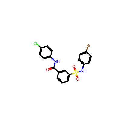 O=C(Nc1ccc(Cl)cc1)c1cccc(S(=O)(=O)Nc2ccc(Br)cc2)c1